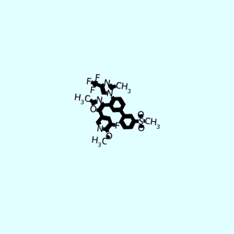 COc1ncc(-c2oc(C)nc2-c2cc(-c3cccc(S(C)(=O)=O)c3)ccc2-n2cc(C(F)(F)F)nc2C)cc1F